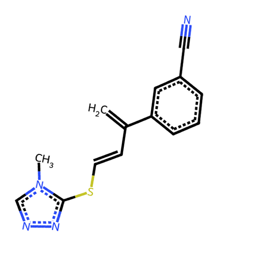 C=C(/C=C/Sc1nncn1C)c1cccc(C#N)c1